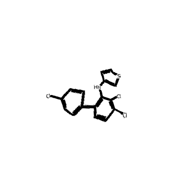 Clc1ccc(-c2ccc(Cl)c(Cl)c2Nc2ccsc2)cc1